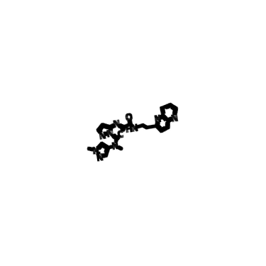 CN(c1cnn(C)c1)c1cc(C(=O)NCCc2ccc3ncccc3n2)nc2ccnn12